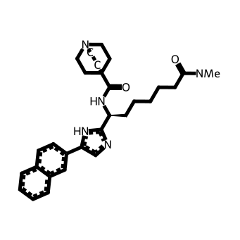 CNC(=O)CCCCC[C@H](NC(=O)C12CCN(CC1)CC2)c1ncc(-c2ccc3ccccc3c2)[nH]1